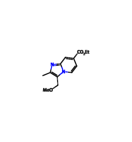 CCOC(=O)c1ccn2c(COC)c(C)nc2c1